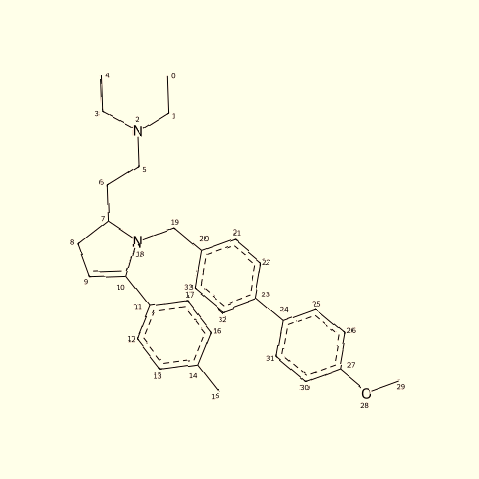 CCN(CC)CCC1CC=C(c2ccc(C)cc2)N1Cc1ccc(-c2ccc(OC)cc2)cc1